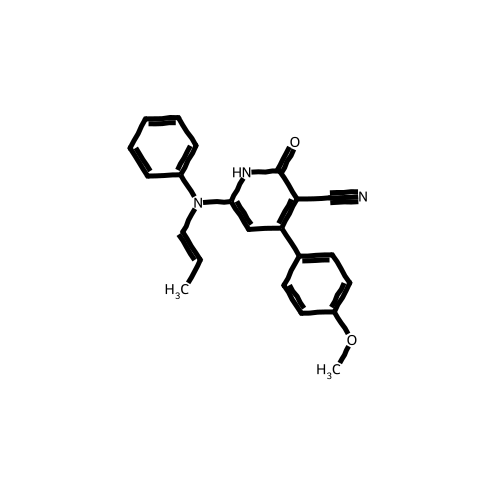 C/C=C/N(c1ccccc1)c1cc(-c2ccc(OC)cc2)c(C#N)c(=O)[nH]1